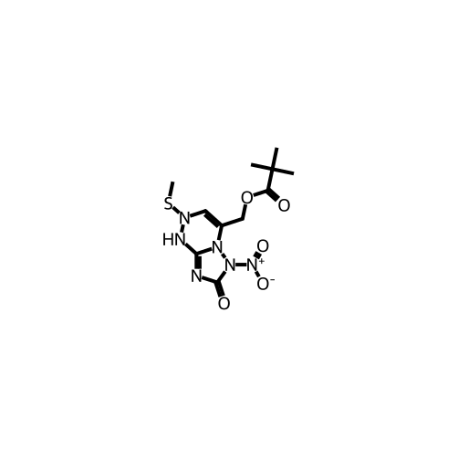 CSN1C=C(COC(=O)C(C)(C)C)n2c(nc(=O)n2[N+](=O)[O-])N1